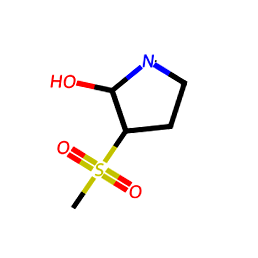 CS(=O)(=O)C1CC[N]C1O